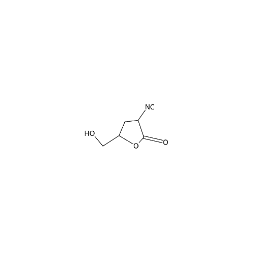 [C-]#[N+]C1CC(CO)OC1=O